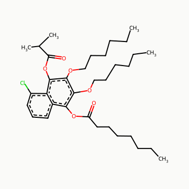 CCCCCCCC(=O)Oc1c(OCCCCCC)c(OCCCCCC)c(OC(=O)C(C)C)c2c(Cl)cccc12